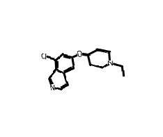 CCN1CCC(Oc2cc(Cl)c3cnccc3c2)CC1